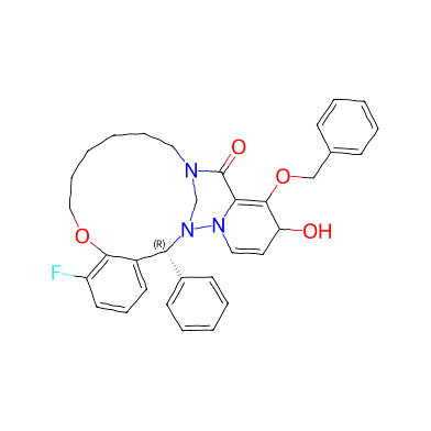 O=C1C2=C(OCc3ccccc3)C(O)C=CN2N2CN1CCCCCCOc1c(F)cccc1[C@H]2c1ccccc1